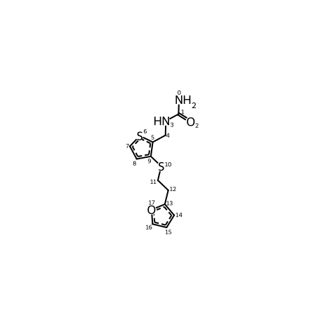 NC(=O)NCc1sccc1SCCc1ccco1